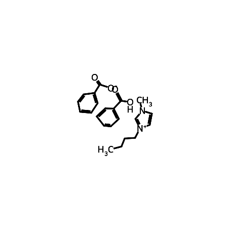 CCCC[n+]1ccn(C)c1.O=C(O)c1ccccc1.O=C([O-])c1ccccc1